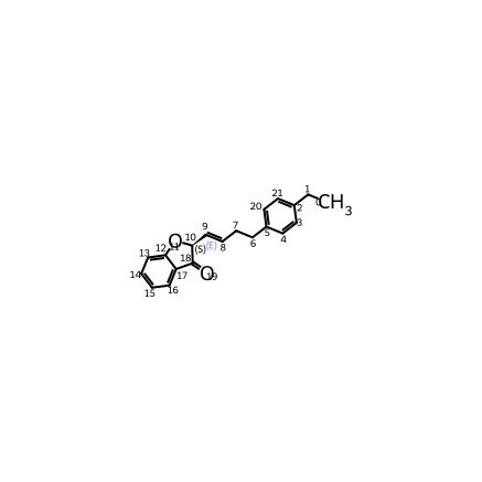 CCc1ccc(CC/C=C/[C@@H]2Oc3ccccc3C2=O)cc1